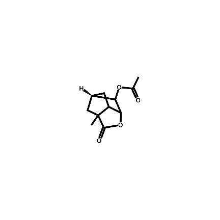 CC(=O)OC1C2OC(=O)C3(C)C[C@@H]1CC23